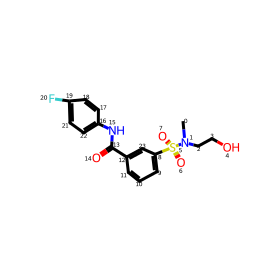 CN(CCO)S(=O)(=O)c1cccc(C(=O)Nc2ccc(F)cc2)c1